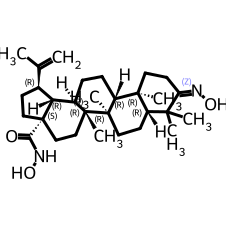 C=C(C)[C@@H]1CC[C@]2(C(=O)NO)CC[C@]3(C)[C@H](CC[C@@H]4[C@@]5(C)CC/C(=N/O)C(C)(C)[C@@H]5CC[C@]43C)[C@@H]12